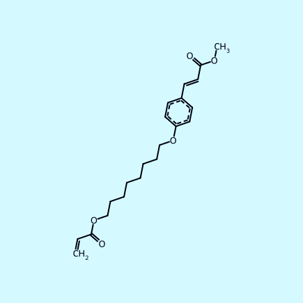 C=CC(=O)OCCCCCCCCOc1ccc(/C=C/C(=O)OC)cc1